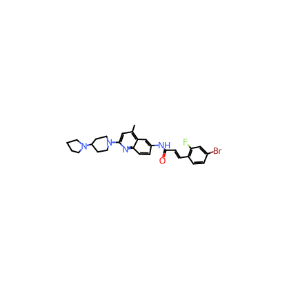 Cc1cc(N2CCC(N3CCCC3)CC2)nc2ccc(NC(=O)/C=C/c3ccc(Br)cc3F)cc12